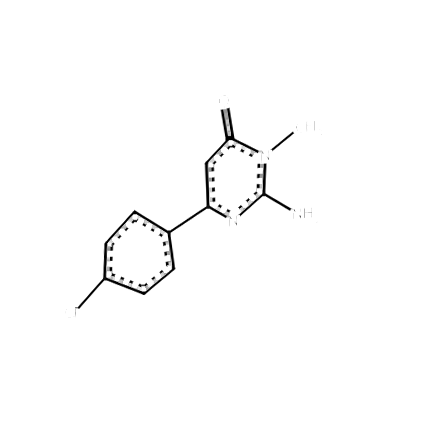 Cn1c(N)nc(-c2ccc(Cl)cc2)cc1=O